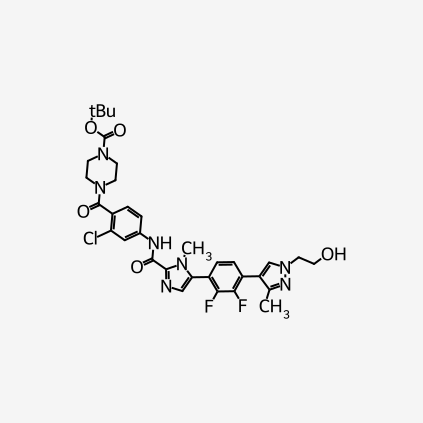 Cc1nn(CCO)cc1-c1ccc(-c2cnc(C(=O)Nc3ccc(C(=O)N4CCN(C(=O)OC(C)(C)C)CC4)c(Cl)c3)n2C)c(F)c1F